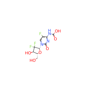 O=C(O)Nc1nc(=O)n([C@@H]2O[C@H](CO)[C@@H](O)C2(F)F)cc1F